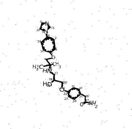 CC(C)(COc1ccc(-n2ccnc2)cc1)NCC(O)COc1ccc(CC(N)=O)cc1